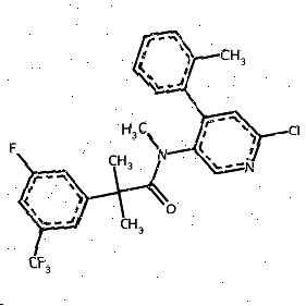 Cc1ccccc1-c1cc(Cl)ncc1N(C)C(=O)C(C)(C)c1cc(F)cc(C(F)(F)F)c1